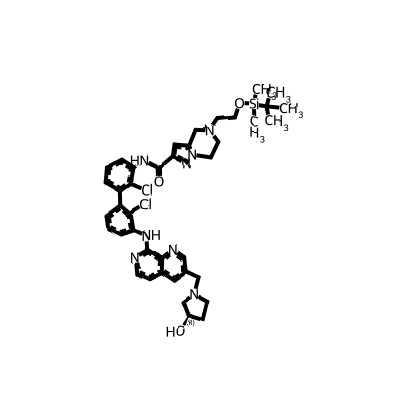 CC(C)(C)[Si](C)(C)OCCN1CCn2nc(C(=O)Nc3cccc(-c4cccc(Nc5nccc6cc(CN7CC[C@@H](O)C7)cnc56)c4Cl)c3Cl)cc2C1